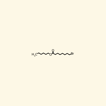 CCCCCCOC(=O)CCCCCCCBr